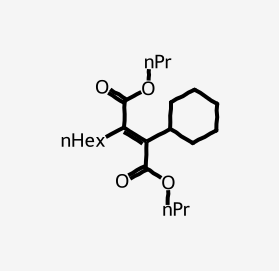 CCCCCCC(C(=O)OCCC)=C(C(=O)OCCC)C1CCCCC1